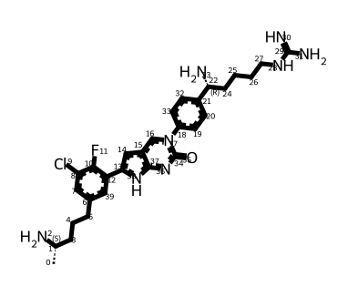 C[C@H](N)CCCc1cc(Cl)c(F)c(-c2cc3cn(-c4ccc([C@H](N)CCCCNC(=N)N)cc4)c(=O)nc3[nH]2)c1